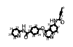 CC#CC(=O)Nc1ccc2ncnc(Oc3ccc(C(=O)Nc4ccccn4)cc3)c2c1